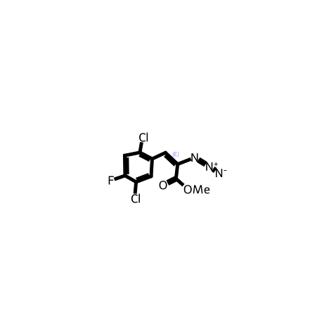 COC(=O)/C(=C\c1cc(Cl)c(F)cc1Cl)N=[N+]=[N-]